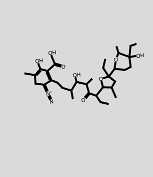 CCC(C(=O)C(C)C(O)C(C)CCC1=C(C(=O)O)C(O)=C(C)CC1=[N+]=[N-])C1OC(CC)(C2CCC(O)(CC)C(C)O2)CC1C